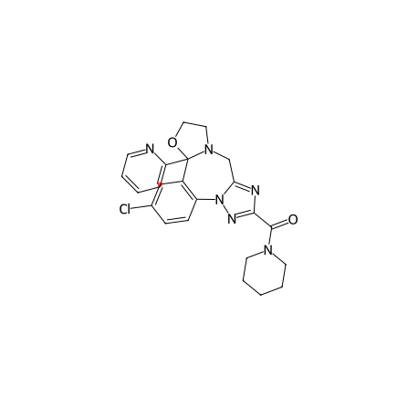 O=C(c1nc2n(n1)-c1ccc(Cl)cc1C1(c3ccccn3)OCCN1C2)N1CCCCC1